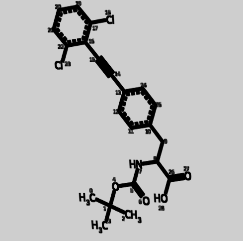 CC(C)(C)OC(=O)NC(Cc1ccc(C#Cc2c(Cl)cccc2Cl)cc1)C(=O)O